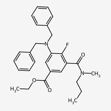 CCCN(C)C(=O)c1cc(C(=O)OCC)cc(N(Cc2ccccc2)Cc2ccccc2)c1F